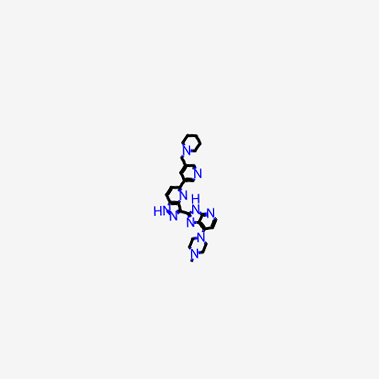 CN1CCN(c2ccnc3[nH]c(-c4n[nH]c5ccc(-c6cncc(CN7CCCCC7)c6)nc45)nc23)CC1